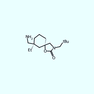 CC[C@]1(CN)CCC[C@@]2(CN(CC(C)(C)C)C(=O)O2)C1